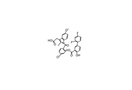 COc1ccc2c(c1)c(CC(=O)O)c(C)n2C(=O)c1ccc(Cl)cc1.O=C(O)c1cc(-c2ccc(F)cc2F)ccc1O